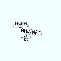 CCNCc1cc2nc(CCC(C)(C)O)cn2cc1NC(=O)c1cccc(C(F)(F)F)n1